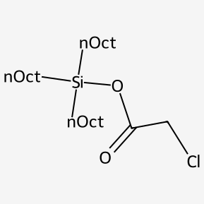 CCCCCCCC[Si](CCCCCCCC)(CCCCCCCC)OC(=O)CCl